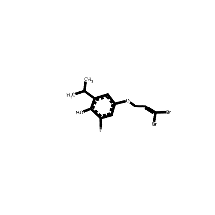 CC(C)c1cc(OCC=C(Br)Br)cc(F)c1O